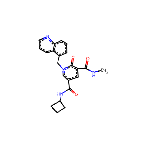 CNC(=O)c1cc(C(=O)NC2CCC2)cn(Cc2cccc3ncccc23)c1=O